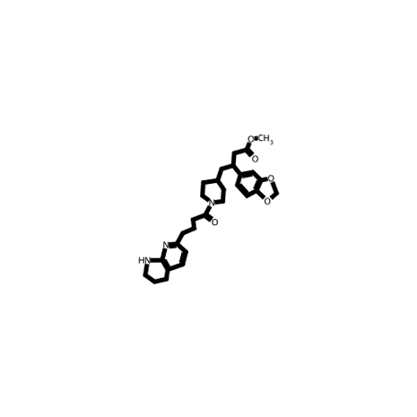 COC(=O)CC(CC1CCN(C(=O)CCCc2ccc3c(n2)NCCC3)CC1)c1ccc2c(c1)OCO2